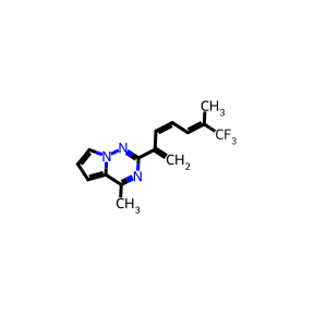 C=C(/C=C\C=C(/C)C(F)(F)F)c1nc(C)c2cccn2n1